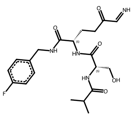 CC(C)C(=O)N[C@@H](CO)C(=O)N[C@@H](CCC(=O)C=N)C(=O)NCc1ccc(F)cc1